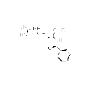 N=C(N)NCCC[C@@H]([C]=O)NC(=O)c1ccccc1